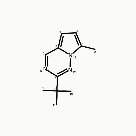 Cc1ccc2cnc(C(C)(C)C)nn12